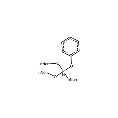 CCCCCCCCCO[PH](CCCCCCCCC)(OCCCCCCCCC)Oc1ccccc1